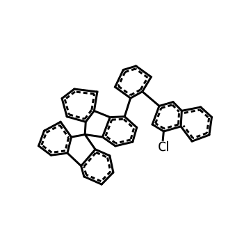 Clc1cc(-c2ccccc2-c2cccc3c2-c2ccccc2C32c3ccccc3-c3ccccc32)cc2ccccc12